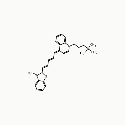 CN1c2ccccc2SC1C=CC=CC=C1C=CN(CCC[N+](C)(C)C)c2ccccc21